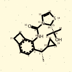 C[C@H](c1ccc2c(c1NC(=O)N1C=CS[C@@H]1C(C)(C)O)CC2)C1CC1